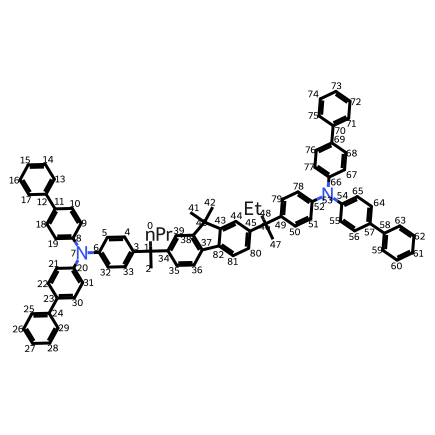 CCCC(C)(c1ccc(N(c2ccc(-c3ccccc3)cc2)c2ccc(-c3ccccc3)cc2)cc1)c1ccc2c(c1)C(C)(C)c1cc(C(C)(CC)c3ccc(N(c4ccc(-c5ccccc5)cc4)c4ccc(-c5ccccc5)cc4)cc3)ccc1-2